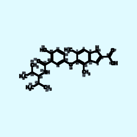 Cc1cc2[nH]c(C(=O)O)cc2c(C)c1Oc1ccc(O)c(C(=O)NC(C(C)C)C(C)C)c1